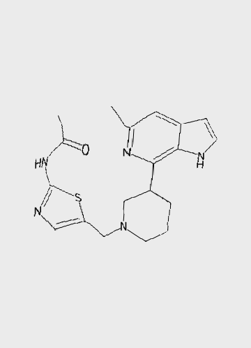 CC(=O)Nc1ncc(CN2CCCC(c3nc(C)cc4cc[nH]c34)C2)s1